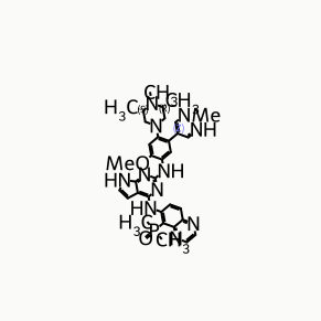 CN/C=C(\C=N)c1cc(Nc2nc(Nc3ccc4nccnc4c3P(C)(C)=O)c3cc[nH]c3n2)c(OC)cc1N1C[C@@H](C)N(C)[C@@H](C)C1